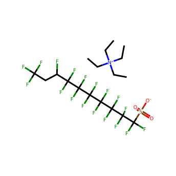 CC[N+](CC)(CC)CC.O=S(=O)([O-])C(F)(F)C(F)(F)C(F)(F)C(F)(F)C(F)(F)C(F)(F)C(F)(F)C(F)CC(F)(F)F